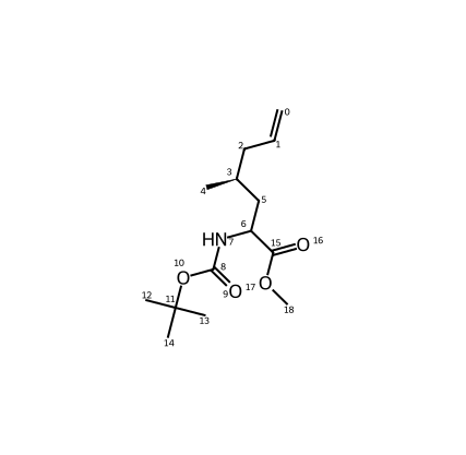 C=CC[C@H](C)CC(NC(=O)OC(C)(C)C)C(=O)OC